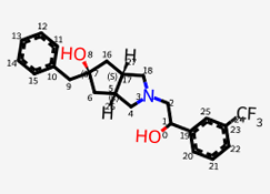 OC(CN1C[C@@H]2C[C@](O)(Cc3ccccc3)C[C@@H]2C1)c1cccc(C(F)(F)F)c1